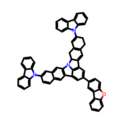 C1=C2c3cc(-c4ccc5oc6ccccc6c5c4)cc4c5cc6ccc(-n7c8ccccc8c8ccccc87)cc6cc5n(c34)C2CC2=C1CCC(n1c3ccccc3c3ccccc31)=C2